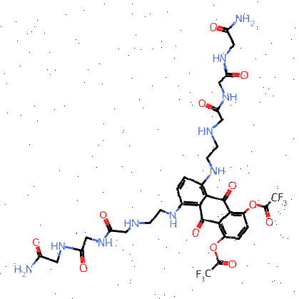 NC(=O)CNC(=O)CNC(=O)CNCCNc1ccc(NCCNCC(=O)NCC(=O)NCC(N)=O)c2c1C(=O)c1c(OC(=O)C(F)(F)F)ccc(OC(=O)C(F)(F)F)c1C2=O